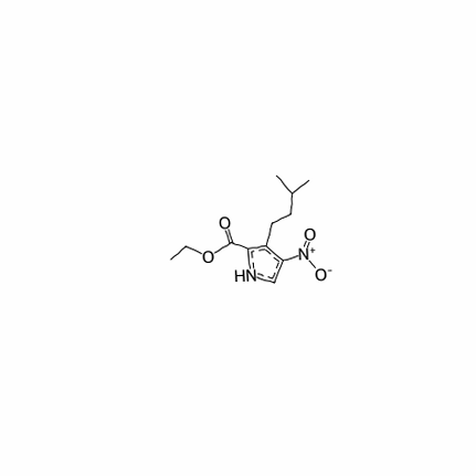 CCOC(=O)c1[nH]cc([N+](=O)[O-])c1CCC(C)C